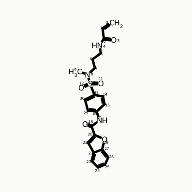 C=CC(=O)NCCCN(C)S(=O)(=O)c1ccc(NC(=O)c2cc3ccccc3o2)cc1